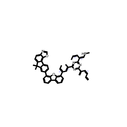 C=C/C=C\C(=C)c1nc(/C(C)=C/C(=C\C)c2cccc3c2oc2c(-c4ccc5c(c4)C(C)(C)c4ccc6ncoc6c4-5)cccc23)nc(C(/C=C\C)=C/BC)n1